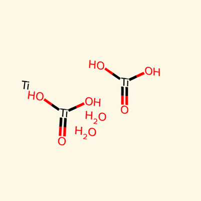 O.O.[O]=[Ti]([OH])[OH].[O]=[Ti]([OH])[OH].[Ti]